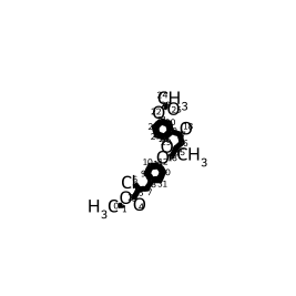 CCOC(=O)C(Cl)Cc1ccc(OCC2(C)CC(=O)c3cc(OC(C)=O)ccc3O2)cc1